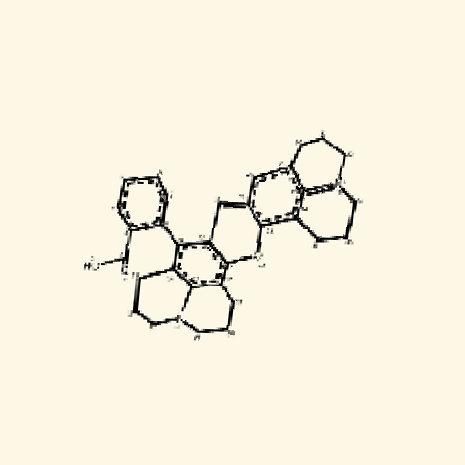 O=C(O)c1ccccc1-c1c2c(c3c4c1CCCN4CCC3)Oc1c3c4c(cc1=C2)CCC[N+]=4CCC3